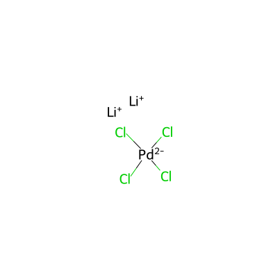 [Cl][Pd-2]([Cl])([Cl])[Cl].[Li+].[Li+]